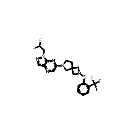 FC(F)Cn1ncc2ncc(N3CCC4(CN(Sc5ccccc5C(F)(F)F)C4)C3)nc21